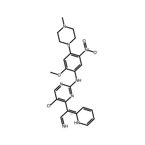 COc1cc(N2CCN(C)CC2)c([N+](=O)[O-])cc1Nc1ncc(Cl)c(/C(C=N)=C2\C=CC=CN2)n1